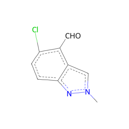 Cn1cc2c(C=O)c(Cl)ccc2n1